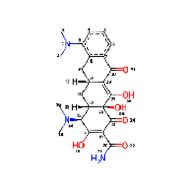 CN(C)c1cccc2c1C[C@H]1C[C@H]3[C@H](N(C)C)C(O)=C(C(N)=O)C(=O)[C@@]3(O)C(O)=C1C2=O